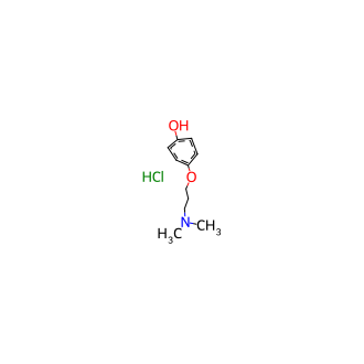 CN(C)CCCOc1ccc(O)cc1.Cl